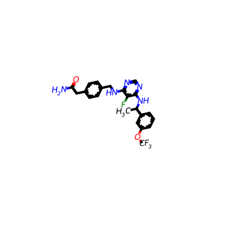 CC(Nc1ncnc(NCc2ccc(CC(N)=O)cc2)c1F)c1cccc(OC(F)(F)F)c1